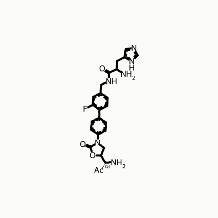 CC(=O)[C@@H](N)C1CN(c2ccc(-c3ccc(CNC(=O)C(N)Cc4cnc[nH]4)cc3F)cc2)C(=O)O1